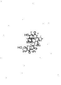 CC[C@@H](C)[C@@H]([C@H](CC(=O)N1CCC[C@H]1[C@H](OC)[C@@H](C)C(=O)N[C@H](C)[C@H](O)c1ccccc1)OC)N(C)C(=O)[C@@H](NC(=O)[C@H](C(C)C)N(C)C(=O)O)C(C)C